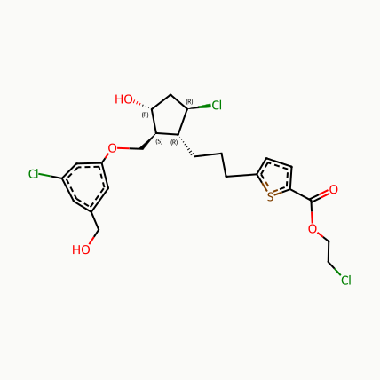 O=C(OCCCl)c1ccc(CCC[C@@H]2[C@@H](COc3cc(Cl)cc(CO)c3)[C@H](O)C[C@H]2Cl)s1